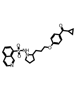 O=C(c1ccc(OCCCC2CCCN2NS(=O)(=O)c2cccc3ccncc23)cc1)C1CC1